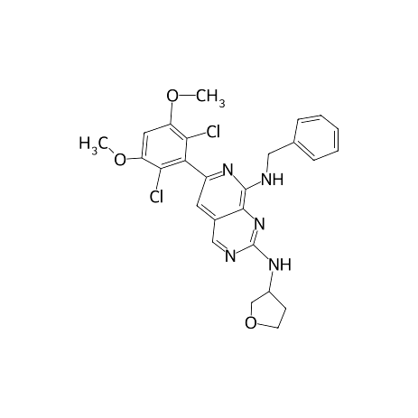 COc1cc(OC)c(Cl)c(-c2cc3cnc(NC4CCOC4)nc3c(NCc3ccccc3)n2)c1Cl